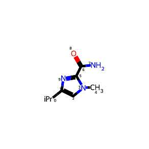 CC(C)c1cn(C)c(C(N)=O)n1